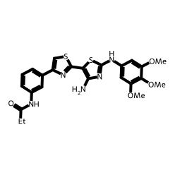 CCC(=O)Nc1cccc(-c2csc(-c3sc(Nc4cc(OC)c(OC)c(OC)c4)nc3N)n2)c1